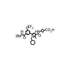 Cc1c(C(=O)NC2CC(C(=O)O)C2)cc(-c2cc(OC(F)(F)F)cc(C(=O)NC(C)(C)C)c2)n1CC1CCCCC1